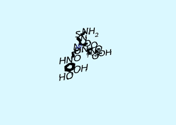 C[C@@H]1[C@H](NC(=O)/C(=N\OCC(=O)Nc2ccc(O)c(O)c2)c2csc(N)n2)C(=O)N1S(=O)(=O)O